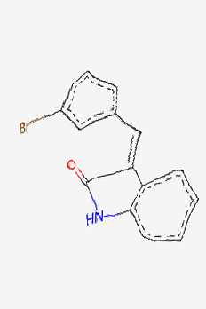 O=C1Nc2ccccc2/C1=C/c1cccc(Br)c1